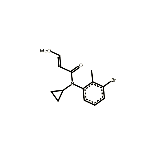 COC=CC(=O)N(c1cccc(Br)c1C)C1CC1